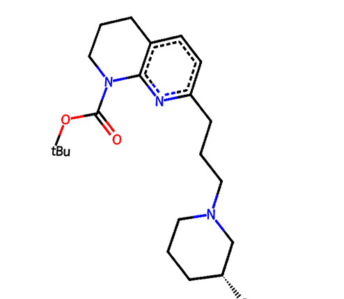 CC(C)(C)OC(=O)N1CCCc2ccc(CCCN3CCC[C@@H](C(=O)O)C3)nc21